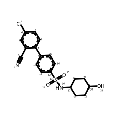 N#Cc1cc(Cl)ccc1-c1ccc(S(=O)(=O)NC2CCC(O)CC2)cc1